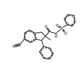 CC1(C(=O)NS(=O)(=O)c2ccccc2)Cc2ccc(C#N)cc2C1c1ccccc1